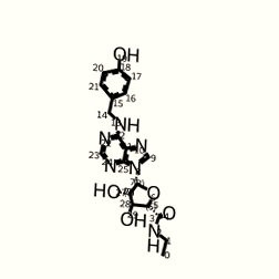 CCNC(=O)[C@H]1O[C@@H](n2cnc3c(NCc4ccc(O)cc4)ncnc32)[C@@H](O)C1O